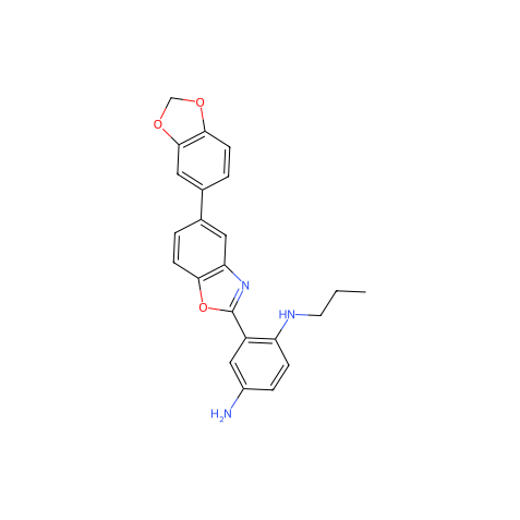 CCCNc1ccc(N)cc1-c1nc2cc(-c3ccc4c(c3)OCO4)ccc2o1